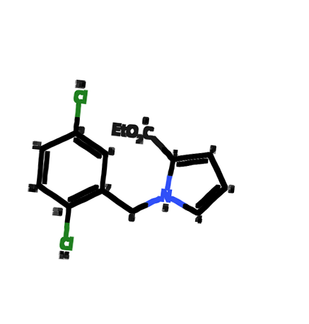 CCOC(=O)c1cccn1Cc1cc(Cl)ccc1Cl